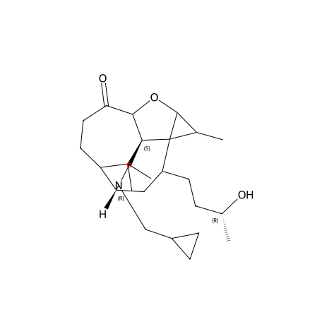 CC1C2OC3C(=O)CCC4[C@H]5CC(CC[C@@H](C)O)C12[C@]3(CCN5CC1CC1)C4(C)C